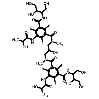 CC(O)C(=O)Nc1c(I)c(C(=O)NC(CO)C(O)CO)c(I)c(C(=O)N(C)CC(O)CN(C)C(=O)c2c(I)c(NC(=O)C(C)O)c(I)c(C(=O)NC(CO)C(O)CO)c2I)c1I